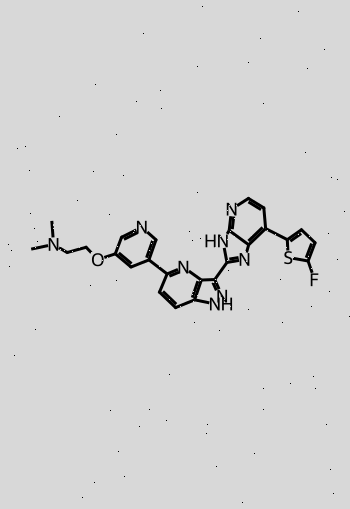 CN(C)CCOc1cncc(-c2ccc3[nH]nc(-c4nc5c(-c6ccc(F)s6)ccnc5[nH]4)c3n2)c1